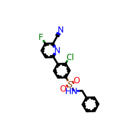 N#Cc1nc(-c2ccc(S(=O)(=O)NCc3ccccc3)cc2Cl)ccc1F